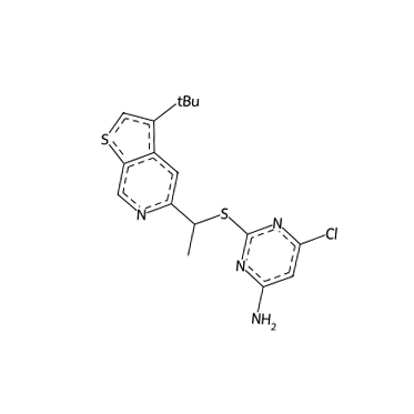 CC(Sc1nc(N)cc(Cl)n1)c1cc2c(C(C)(C)C)csc2cn1